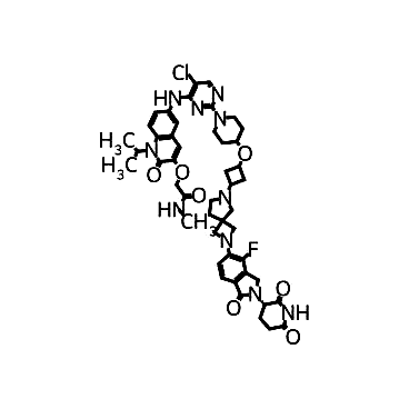 CNC(=O)COc1cc2cc(Nc3nc(N4CCC(OC5CC(N6CCC7(CN(c8ccc9c(c8F)CN([C@@H]8CCC(=O)NC8=O)C9=O)C7)C6)C5)CC4)ncc3Cl)ccc2n(C(C)C)c1=O